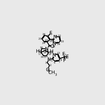 COCCN(c1ccc(C(F)(F)F)cn1)[C@@H]1C[C@H]2C[C@@H]1N(C(=O)c1cccc(F)c1-c1ncccn1)C2